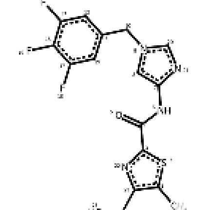 Cc1sc(C(=O)Nc2cn(Cc3cc(F)c(F)c(F)c3)cn2)nc1CO